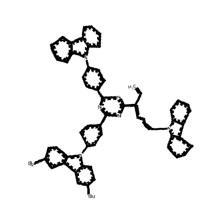 C=C/C(=C\C=C\n1c2ccccc2c2ccccc21)c1nc(-c2ccc(-n3c4ccccc4c4ccccc43)cc2)nc(-c2ccc(-n3c4ccc(C(C)(C)C)cc4c4cc(C(C)(C)C)ccc43)cc2)n1